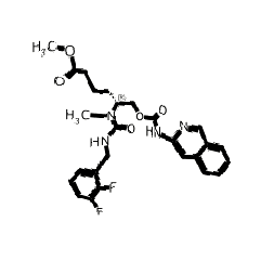 COC(=O)CCC[C@H](COC(=O)Nc1cc2ccccc2cn1)N(C)C(=O)NCc1cccc(F)c1F